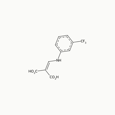 O=C(O)C(=CNc1cccc(C(F)(F)F)c1)C(=O)O